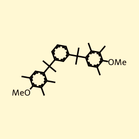 COc1c(C)cc(C(C)(C)c2cccc(C(C)(C)c3cc(C)c(OC)c(C)c3C)c2)c(C)c1C